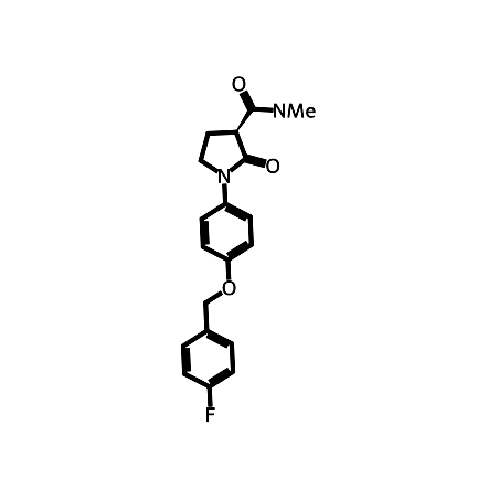 CNC(=O)[C@@H]1CCN(c2ccc(OCc3ccc(F)cc3)cc2)C1=O